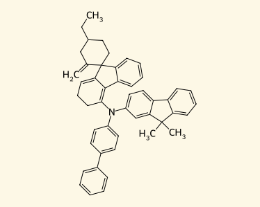 C=C1CC(CC)CCC12C1=CCCC(N(c3ccc(-c4ccccc4)cc3)c3ccc4c(c3)C(C)(C)c3ccccc3-4)=C1c1ccccc12